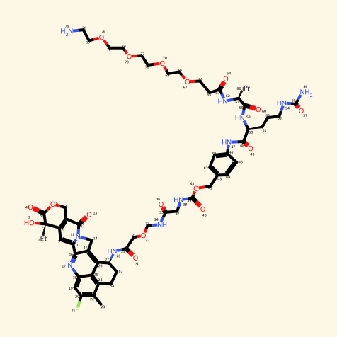 CC[C@@]1(O)C(=O)OCc2c1cc1n(c2=O)Cc2c-1nc1cc(F)c(C)c3c1c2[C@@H](NC(=O)COCNC(=O)CNC(=O)OCc1ccc(NC(=O)[C@H](CCCNC(N)=O)NC(=O)[C@@H](NC(=O)CCOCCOCCOCCOCCN)C(C)C)cc1)CC3